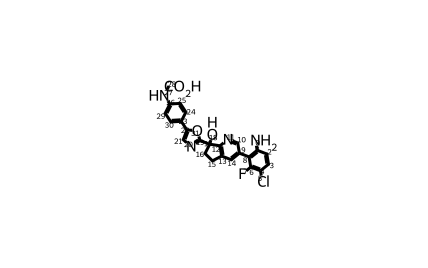 Nc1ccc(Cl)c(F)c1-c1cnc2c(c1)CCC2(O)c1ncc(-c2ccc(NC(=O)O)cc2)o1